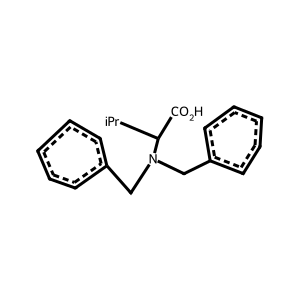 CC(C)C(C(=O)O)N(Cc1ccccc1)Cc1ccccc1